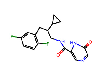 O=C(NCC(Cc1cc(F)ccc1F)C1CC1)c1cncc(=O)[nH]1